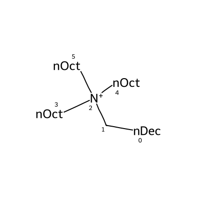 CCCCCCCCCCC[N+](CCCCCCCC)(CCCCCCCC)CCCCCCCC